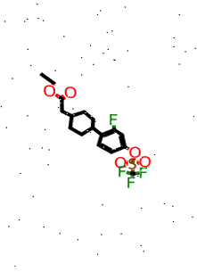 CCOC(=O)CC1CCC(c2ccc(OS(=O)(=O)C(F)(F)F)cc2F)CC1